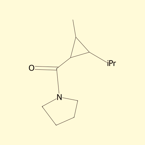 CC(C)C1C(C)C1C(=O)N1CCCC1